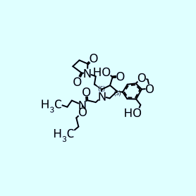 CCCON(CCC)C(=O)CN1C[C@H](c2cc(CO)c3c(c2)OCO3)C(C(=O)O)[C@@H]1CCN1C(=O)CCC1=O